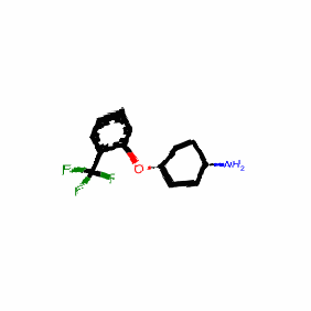 N[C@H]1CC[C@H](Oc2ccccc2C(F)(F)F)CC1